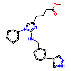 COC(=O)CCCc1cn(-c2ccccc2)c(NCc2cccc(-c3cn[nH]c3)c2)n1